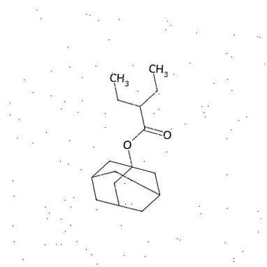 CCC(CC)C(=O)OC12CC3CC(CC(C3)C1)C2